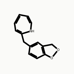 C1=CC=C(Cc2ccc3c(c2)COO3)NC=C1